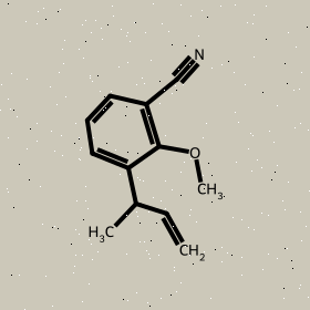 C=C[C](C)c1cccc(C#N)c1OC